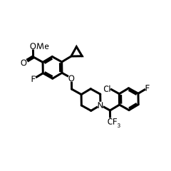 COC(=O)c1cc(C2CC2)c(OCC2CCN(C(c3ccc(F)cc3Cl)C(F)(F)F)CC2)cc1F